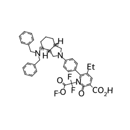 CCc1cc(C(=O)O)c(=O)n(C(F)(F)C(=O)OF)c1-c1ccc(N2C[C@H]3CCC[C@@H](N(Cc4ccccc4)Cc4ccccc4)[C@H]3C2)cc1